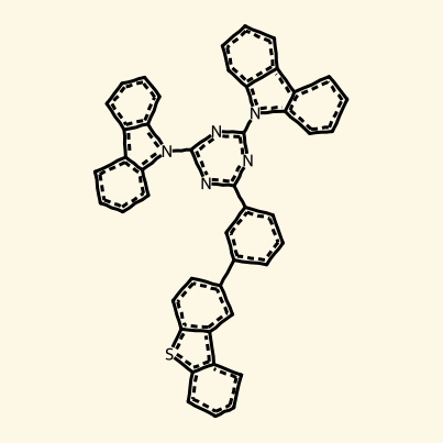 c1cc(-c2ccc3sc4ccccc4c3c2)cc(-c2nc(-n3c4ccccc4c4ccccc43)nc(-n3c4ccccc4c4ccccc43)n2)c1